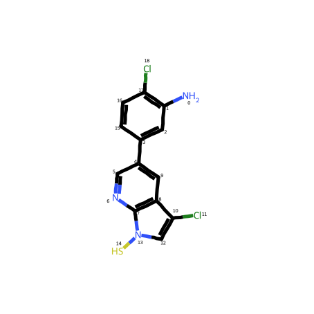 Nc1cc(-c2cnc3c(c2)c(Cl)cn3S)ccc1Cl